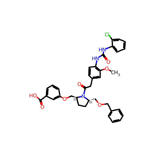 COc1cc(CC(=O)N2[C@H](COCc3ccccc3)CC[C@H]2COc2cccc(C(=O)O)c2)ccc1NC(=O)Nc1ccccc1Cl